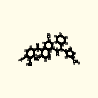 Cn1cnc(C(Nc2cc(Cl)cc3c(Nc4ccc(F)c(Cl)c4)c(C#N)cnc23)c2ccccc2)c1